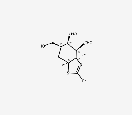 CCC1=N[C@@H]2[C@H](C=O)[C@H](C=O)[C@H](CO)C[C@@H]2S1